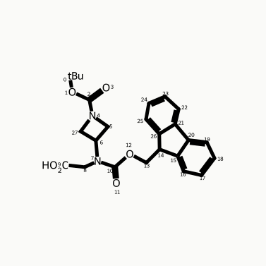 CC(C)(C)OC(=O)N1CC(N(CC(=O)O)C(=O)OCC2c3ccccc3-c3ccccc32)C1